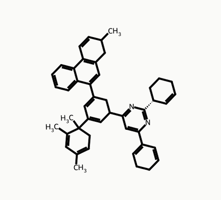 CC1=CCC(C)(C2=CC(c3cc(C4=CCCC=C4)nc([C@H]4C=CCCC4)n3)CC(c3cc4c(c5ccccc35)C=CC(C)C4)=C2)C(C)=C1